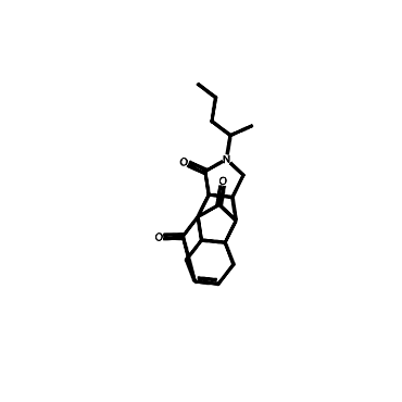 CCCC(C)N1CC2C3C(=O)C4(C(=O)C5=CCC3C4C5)C2C1=O